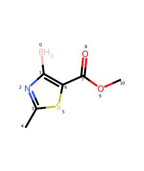 Bc1nc(C)sc1C(=O)OC